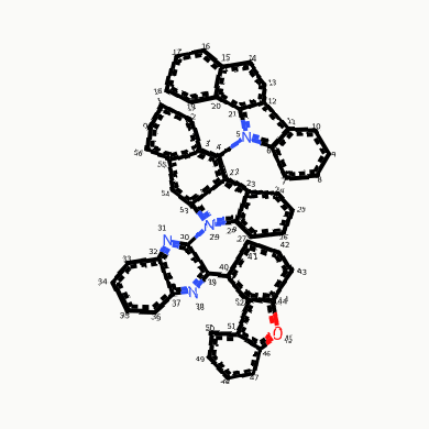 c1ccc2c(-n3c4ccccc4c4ccc5ccccc5c43)c3c4ccccc4n(-c4nc5ccccc5nc4-c4cccc5oc6ccccc6c45)c3cc2c1